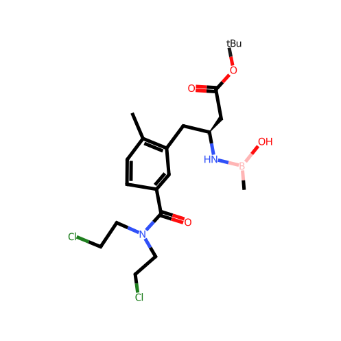 CB(O)N[C@H](CC(=O)OC(C)(C)C)Cc1cc(C(=O)N(CCCl)CCCl)ccc1C